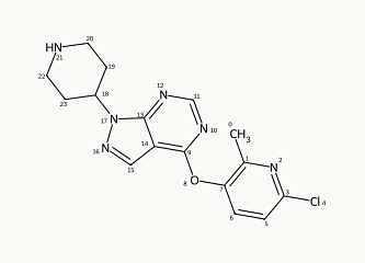 Cc1nc(Cl)ccc1Oc1ncnc2c1cnn2C1CCNCC1